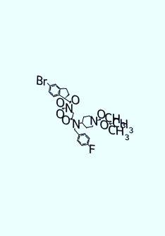 CC(C)(C)OC(=O)N1CCC(N(Cc2ccc(F)cc2)C(=O)CN2C(=O)O[C@@]3(CCc4cc(Br)ccc43)C2=O)CC1